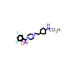 O=C(O)NC1CCC(CCN2CCN(c3noc4c(F)cc(F)cc34)CC2)CC1